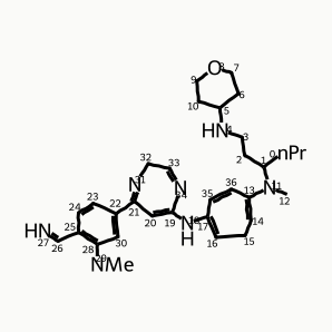 CCCC(CCNC1CCOCC1)N(C)C1=CCC=C(NC2=CC(c3ccc(C=N)c(NC)c3)=NCC=N2)C=C1